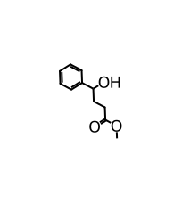 COC(=O)CCC(O)c1ccccc1